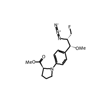 COC(=O)[C@@H]1CCCN1c1ccc([C@@H](OC)[C@@H](CF)N=[N+]=[N-])cc1